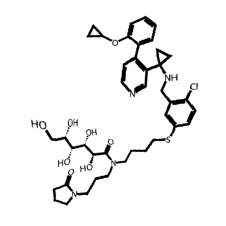 O=C1CCCN1CCCN(CCCCSc1ccc(Cl)c(CNC2(c3cnccc3-c3ccccc3OC3CC3)CC2)c1)C(=O)[C@@H](O)[C@@H](O)[C@H](O)[C@@H](O)CO